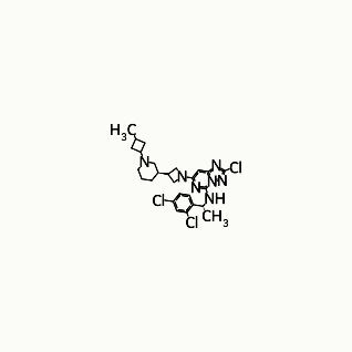 CC1CC(N2CCC[C@H](C3CN(c4cc5nc(Cl)nn5c(N[C@H](C)c5ccc(Cl)cc5Cl)n4)C3)C2)C1